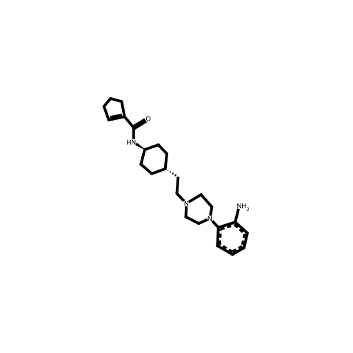 Nc1ccccc1N1CCN(CC[C@H]2CC[C@H](NC(=O)C3=CCCC3)CC2)CC1